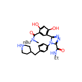 CCCCN(C)C(=O)c1cc(-c2nnc(C(=O)NCC)n2-c2ccc(CC3CCNCC3)cc2)c(O)cc1O